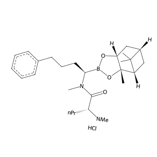 CCC[C@@H](NC)C(=O)N(C)[C@@H](CCCc1ccccc1)B1O[C@@H]2C[C@@H]3C[C@@H](C3(C)C)[C@]2(C)O1.Cl